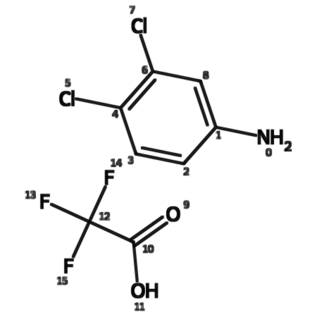 Nc1ccc(Cl)c(Cl)c1.O=C(O)C(F)(F)F